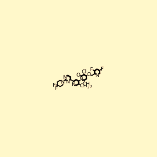 Cc1cnc(-c2ccnc(N3CCC(F)(F)CC3)n2)cc1-n1c(C)cc(OCc2ncc(F)cc2F)c(Cl)c1=O